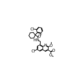 COC(=O)c1cc2cc(Cl)cc(CNC(=O)C3(c4c(F)cccc4Cl)CCCCC3)c2nc1OC